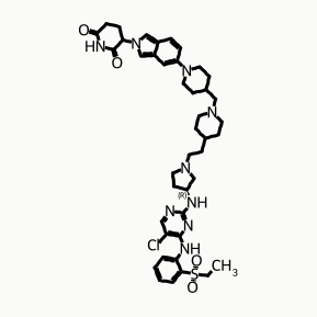 CCS(=O)(=O)c1ccccc1Nc1nc(N[C@@H]2CCN(CCC3CCN(CC4CCN(c5ccc6cn(C7CCC(=O)NC7=O)cc6c5)CC4)CC3)C2)ncc1Cl